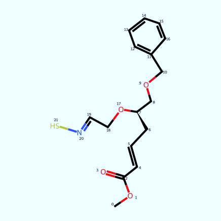 COC(=O)/C=C/C[C@H](COCc1ccccc1)OCC=NS